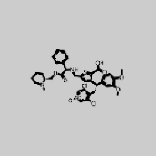 COc1ccc([C@H](Cc2c(Cl)c[n+]([O-])cc2Cl)c2cc(CNC(C(=O)OC[C@@H]3CCCCN3C)c3ccccc3)sc2C(=O)O)cc1OC